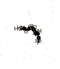 Cc1cc(Nc2nccn3c(-c4ccc(OC(F)F)cc4)cnc23)ccc1C(=O)N1CCC(C(=O)N2CCNC(CO)C2)CC1.Cl